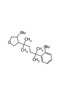 CC(C)(C)c1ccccc1C(C)(C)CCC(C)(C)C1COCC1C(C)(C)C